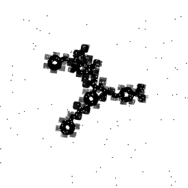 CC1(C)S[C@@H]2[C@@H](NC(=O)C(NC(=O)OCc3ccc([N+](=O)[O-])cc3)c3ccc(OC(=O)OCc4ccccc4)cc3)C(=O)N2[C@@]1(NC=O)C(=O)OCc1ccccc1